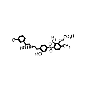 Cc1ccc(S(=O)(=O)c2ccc(CCNC[C@H](O)c3cccc(Cl)c3)cc2)c(C)c1OCC(=O)O.Cl